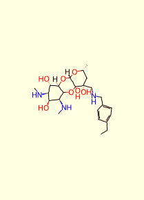 CCc1ccc(CNC[C@]2(O)C[C@@H](C)O[C@H]3O[C@H]4C(O[C@]32O)[C@@H](NC)[C@@H](O)[C@@H](NC)[C@@H]4O)cc1